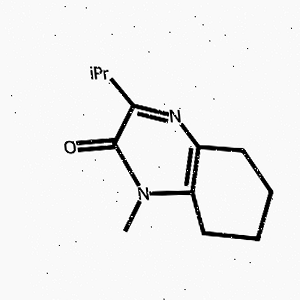 CC(C)c1nc2c(n(C)c1=O)CCCC2